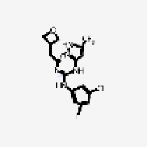 O=C(CC1COC1)/N=C(/Nc1cc(F)cc(Cl)c1)Nc1cc(C(F)(F)F)[nH]n1